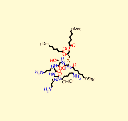 CCCCCCCCCCCCCCCC(=O)N[C@@H](CSC[C@H](COC(=O)CCCCCCCCCCCCCCC)OC(=O)CCCCCCCCCCCCCCC)C(=O)N[C@@H](CO)C(=O)N[C@@H](CCCCN)C(=O)N[C@@H](CCCCN)C(=O)N[C@H]([C]=O)CCCCN